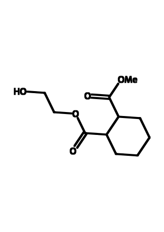 COC(=O)C1CCCCC1C(=O)OCCO